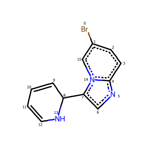 Brc1ccc2ncc(C3C=CC=CN3)n2c1